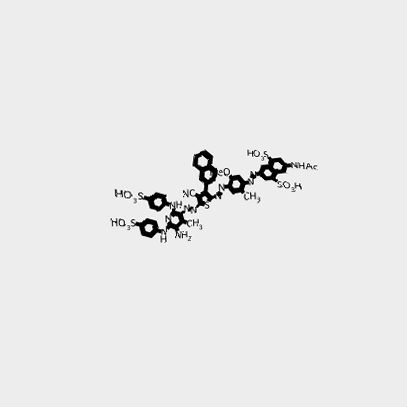 COc1cc(/N=N/c2cc(S(=O)(=O)O)c3cc(NC(C)=O)cc(S(=O)(=O)O)c3c2)c(C)cc1/N=N/c1sc(/N=N/c2c(Nc3ccc(S(=O)(=O)O)cc3)nc(Nc3ccc(S(=O)(=O)O)cc3)c(N)c2C)c(C#N)c1-c1ccc2c(c1)CCC=C2